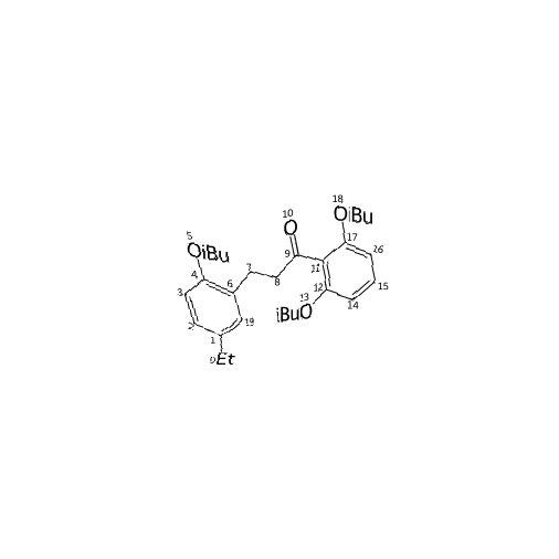 CCc1ccc(OCC(C)C)c(CCC(=O)c2c(OCC(C)C)cccc2OCC(C)C)c1